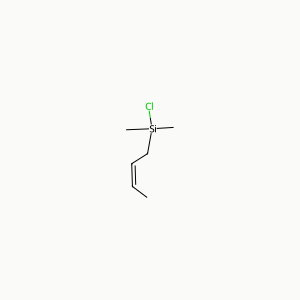 C/C=C\C[Si](C)(C)Cl